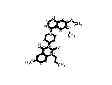 CCCn1c(=O)n(C2CCN(c3ncnc4cc(OC)c(OC)cc34)CC2)c(=O)c2cc(C)ccc21